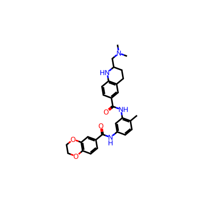 Cc1ccc(NC(=O)c2ccc3c(c2)OCCO3)cc1NC(=O)c1ccc2c(c1)CCC(CN(C)C)N2